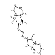 CN1C(=CC=CC2=[N+](C)c3ccccc3C2(C)C)Sc2ccccc21